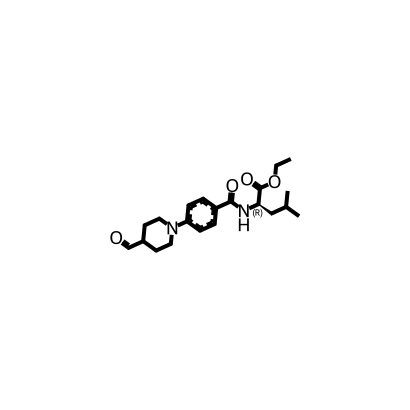 CCOC(=O)[C@@H](CC(C)C)NC(=O)c1ccc(N2CCC(C=O)CC2)cc1